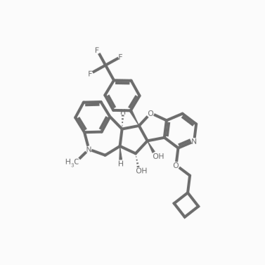 CN1C[C@H]2[C@@H](O)[C@@]3(O)c4c(ccnc4OCC4CCC4)O[C@@]3(c3ccc(C(F)(F)F)cc3)[C@@H]2c2cccc1c2